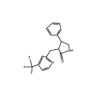 O=C1NCC(c2ccccc2)C1Cc1cc(C(F)(F)F)ccn1